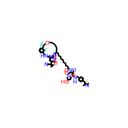 Cc1ncsc1-c1ccc(CNC(=O)[C@@H]2C[C@@H](O)CN2C(=O)[C@@H](NC(=O)CCCCCCCCCC2CCCCCCOCC(F)(F)c3cccc(c3F)[C@@H](C)Nc3nc(=O)n2c2c3cc(C3(C#N)CC3)c(=O)n2C)C(C)(C)C)cc1